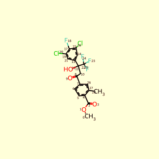 COC(=O)c1ccc(C(=O)CC(O)(c2cc(Cl)c(F)c(Cl)c2)C(F)(F)F)cc1C